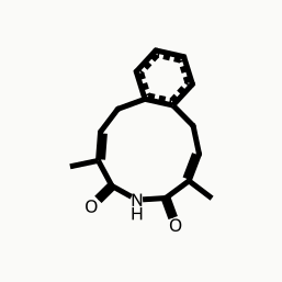 CC1=CCc2ccccc2CC=C(C)C(=O)NC1=O